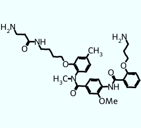 COc1cc(C(=O)N(C)c2ccc(C)cc2OCCCCNC(=O)CCN)ccc1NC(=O)c1ccccc1OCCCN